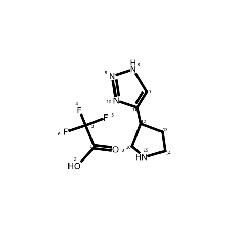 O=C(O)C(F)(F)F.c1[nH]nnc1C1CCNC1